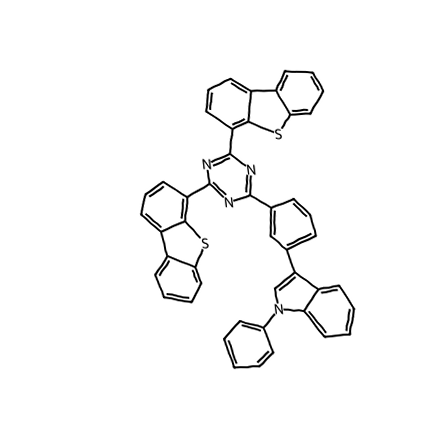 c1ccc(-n2cc(-c3cccc(-c4nc(-c5cccc6c5sc5ccccc56)nc(-c5cccc6c5sc5ccccc56)n4)c3)c3ccccc32)cc1